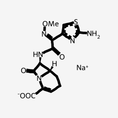 CON=C(C(=O)N[C@@H]1C(=O)N2C(C(=O)[O-])=CCC[C@@H]12)c1csc(N)n1.[Na+]